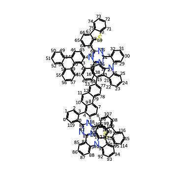 c1ccc(-c2cccc3c2ccc2cc(-c4cccc5c4c4ccccc4n5-c4ccccc4-c4nc(-c5ccccc5-c5cccc6c7ccccc7c7ccccc7c56)nc(-c5cccc6c5sc5ccccc56)n4)ccc23)c(-c2nc(-c3ccccc3-n3c4ccccc4c4ccccc43)nc(-c3cccc4c3sc3ccccc34)n2)c1